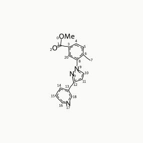 COC(=O)c1ccc(C)c(-n2ccc(-c3cccnc3)n2)c1